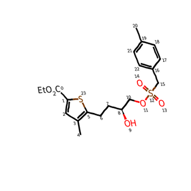 CCOC(=O)c1cc(C)c(CC[C@H](O)COS(=O)(=O)Cc2ccc(C)cc2)s1